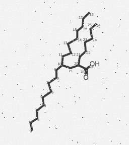 CCCCCCCCCCC(CCCCCCCC)CC(CCCCCC)C(=O)O